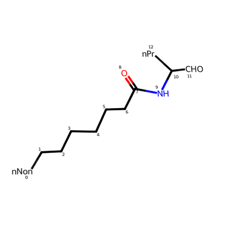 CCCCCCCCCCCCCCCC(=O)NC(C=O)CCC